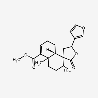 COC(=O)C1=CCC[C@H]2C1(C)CCC(C)C21CC(c2ccoc2)OC1=O